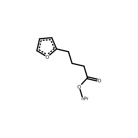 CCCOC(=O)CCCc1ccco1